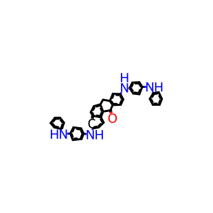 O=C1c2ccc(Nc3ccc(Nc4ccccc4)cc3)cc2Cc2ccc3cc(Nc4ccc(Nc5ccccc5)cc4)ccc3c21